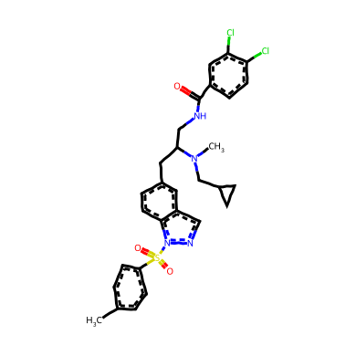 Cc1ccc(S(=O)(=O)n2ncc3cc(CC(CNC(=O)c4ccc(Cl)c(Cl)c4)N(C)CC4CC4)ccc32)cc1